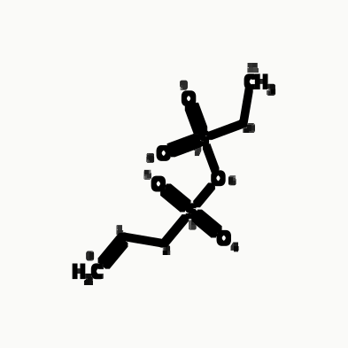 C=CCS(=O)(=O)OS(=O)(=O)CC